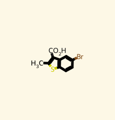 Cc1sc2ccc(Br)cc2c1C(=O)O